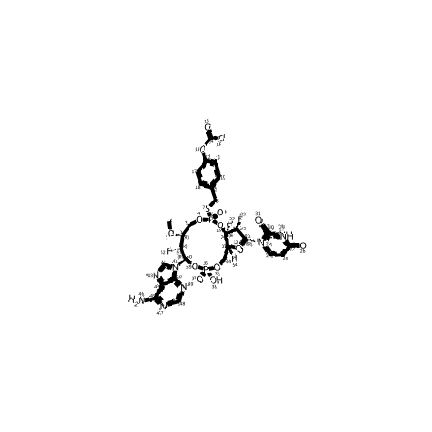 CO[C@@H]1COP(=O)(SCc2ccc(OC(=O)Cl)cc2)O[C@H]2[C@@H](F)[C@H](n3ccc(=O)[nH]c3=O)O[C@@H]2COP(=O)(O)O[C@@H](n2cnc3c(N)ncnc32)[C@@H]1F